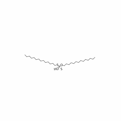 CCCCCCCCCCCCCCOP(O)(=S)SCCCCCCCCCCCCCC